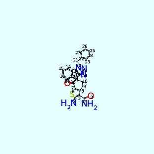 NC(=O)c1c(N)sc2c1CCC(c1ccccc1)(c1cn(Cc3ccccc3)nn1)C2=O